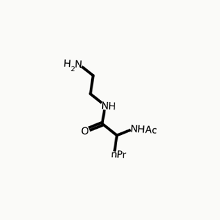 CCCC(NC(C)=O)C(=O)NCCN